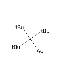 CC(=O)C(C(C)(C)C)(C(C)(C)C)C(C)(C)C